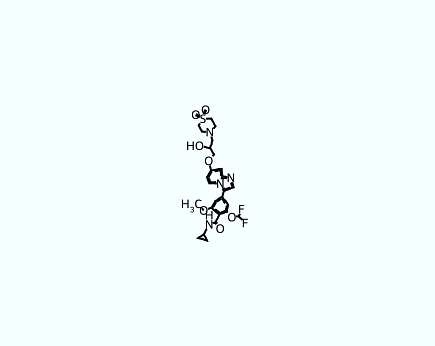 COc1cc(-c2cnc3cc(OCC(O)CN4CCS(=O)(=O)CC4)ccn23)cc(OC(F)F)c1C(=O)NC1CC1